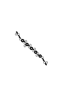 C=CC(=O)OCCCCOc1ccc(C(=O)Oc2ccc(OC(=O)c3ccc(OC(=O)c4ccc(OC(=O)c5ccc(OCCCCOC(=O)C=C)cc5)c(OC)c4)cc3)cc2)cc1